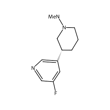 CNN1CCC[C@H](c2cncc(F)c2)C1